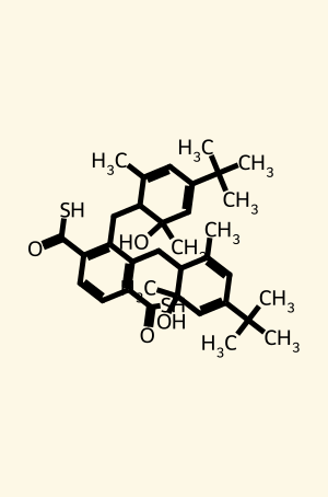 CC1=CC(C(C)(C)C)=CC(C)(O)C1Cc1c(C(=O)S)ccc(C(=O)S)c1CC1C(C)=CC(C(C)(C)C)=CC1(C)O